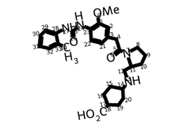 COc1cc(CC(=O)N2CCCC2CNC2CCC(C(=O)O)CC2)ccc1NC(=O)Nc1ccccc1C